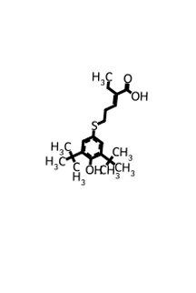 CC/C(=C\CCSc1cc(C(C)(C)C)c(O)c(C(C)(C)C)c1)C(=O)O